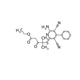 CCOC(=O)CC(=O)C(C)(C)Sc1nc(N)c(C#N)c(-c2ccccc2)c1C#N